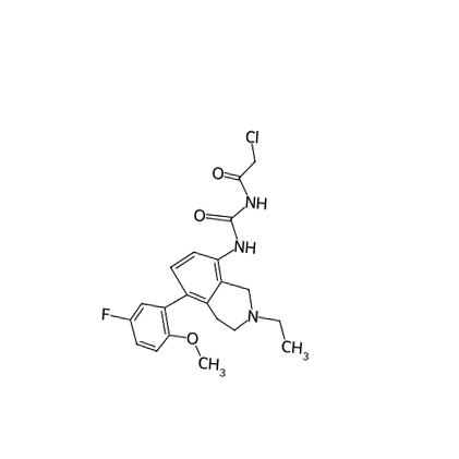 CCN1CCc2c(-c3cc(F)ccc3OC)ccc(NC(=O)NC(=O)CCl)c2C1